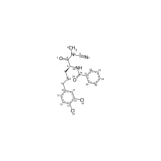 CN(C#N)C(=O)[C@H](CSCc1ccc(Cl)c(Cl)c1)NC(=O)c1ccccc1